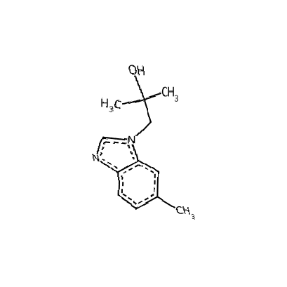 Cc1ccc2ncn(CC(C)(C)O)c2c1